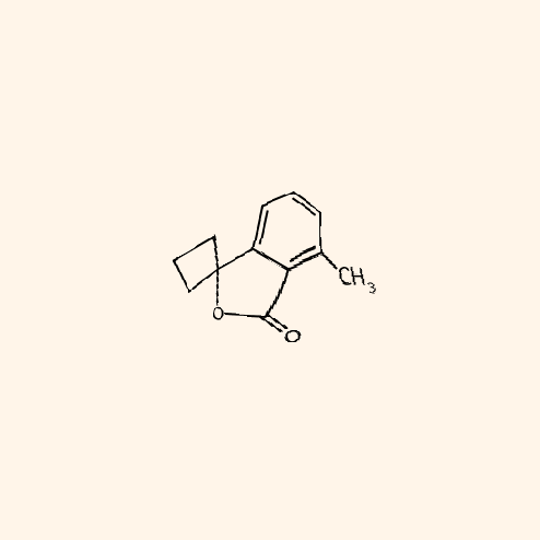 Cc1cccc2c1C(=O)OC21CCC1